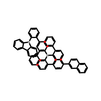 c1ccc(-c2ccccc2N(c2ccccc2-c2ccc(-c3ccc4ccccc4c3)cc2)c2ccc(-c3ccccc3-n3c4ccccc4c4ccccc43)cc2-c2ccccc2)cc1